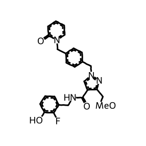 COCc1nn(Cc2ccc(Cn3ccccc3=O)cc2)cc1C(=O)NCc1cccc(O)c1F